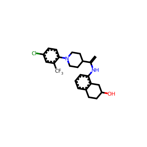 C=C(Nc1cccc2c1CC(O)CC2)C1CCN(c2ccc(Cl)cc2C(F)(F)F)CC1